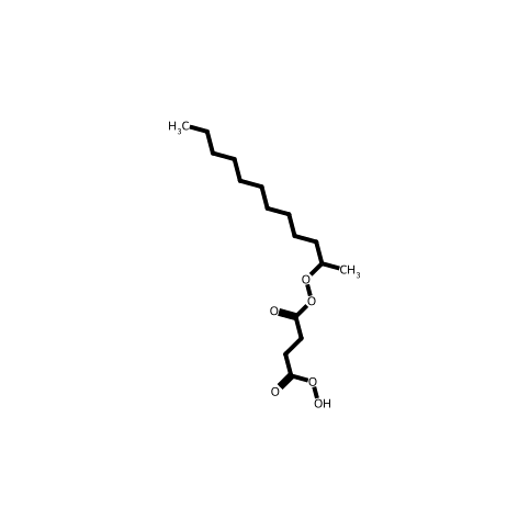 CCCCCCCCCCC(C)OOC(=O)CCC(=O)OO